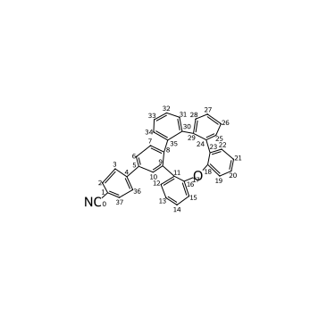 N#Cc1ccc(-c2ccc3c(c2)-c2ccccc2Oc2ccccc2-c2ccccc2-c2ccccc2-3)cc1